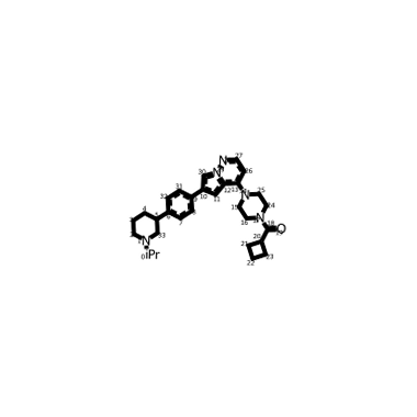 CC(C)N1CCCC(c2ccc(-c3cc4c(N5CCN(C(=O)C6CCC6)CC5)ccnn4c3)cc2)C1